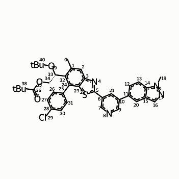 Cc1cc2nc(-c3cncc(-c4ccc5c(cnn5C)c4)c3)sc2c(-c2ccc(Cl)cc2)c1[C@H](COC(=O)C(C)(C)C)OC(C)(C)C